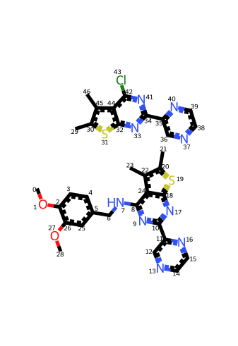 COc1ccc(CNc2nc(-c3cnccn3)nc3sc(C)c(C)c23)cc1OC.Cc1sc2nc(-c3cnccn3)nc(Cl)c2c1C